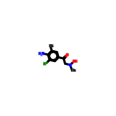 CC(C)(C)N(O)CC(=O)c1cc(Br)c(N)c(C#N)c1